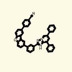 N#Cc1ccc(-c2ccc3oc4ccc(-c5cccc(-c6n[n+]7cc(-c8ccccc8)cc(-c8ccccc8)c7[nH]6)c5)cc4c3c2)cc1